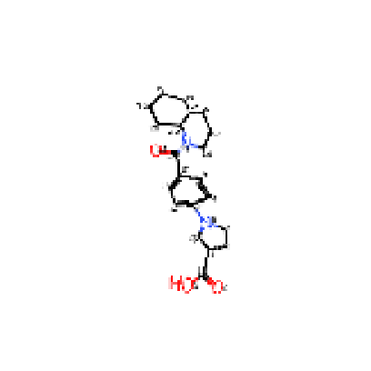 O=C(O)C1CCN(c2ccc(C(=O)N3CCCC4CCCCC43)cc2)C1